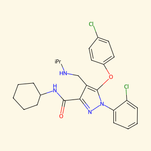 CC(C)NCc1c(C(=O)NC2CCCCC2)nn(-c2ccccc2Cl)c1Oc1ccc(Cl)cc1